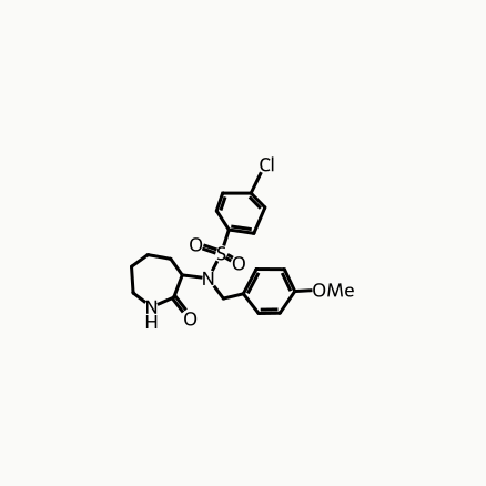 COc1ccc(CN(C2CCCCNC2=O)S(=O)(=O)c2ccc(Cl)cc2)cc1